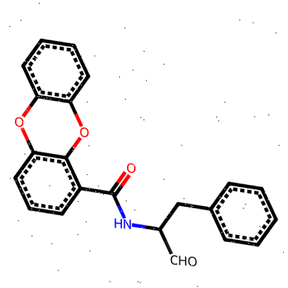 O=CC(Cc1ccccc1)NC(=O)c1cccc2c1Oc1ccccc1O2